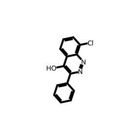 Oc1c(-c2ccccc2)nnc2c(Cl)cccc12